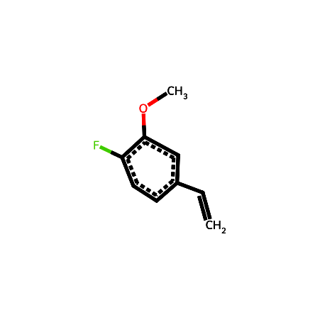 C=Cc1ccc(F)c(OC)c1